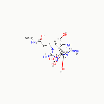 CONC(=O)CCN1C(=N)N[C@@]23[C@@H]1[C@H](CO)NC(=N)N2C[C@@H](O)C3(O)O